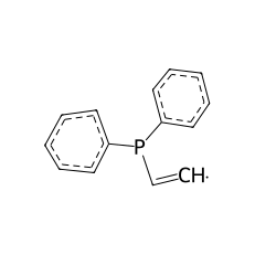 [CH]=CP(c1ccccc1)c1ccccc1